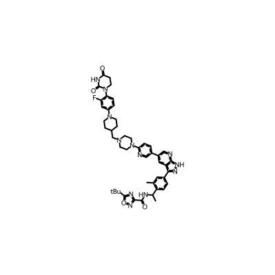 Cc1cc(-c2n[nH]c3ncc(-c4ccc(N5CCN(CC6CCN(c7ccc(N8CCC(=O)NC8=O)c(F)c7)CC6)CC5)nc4)cc23)ccc1C(C)NC(=O)c1noc(C(C)(C)C)n1